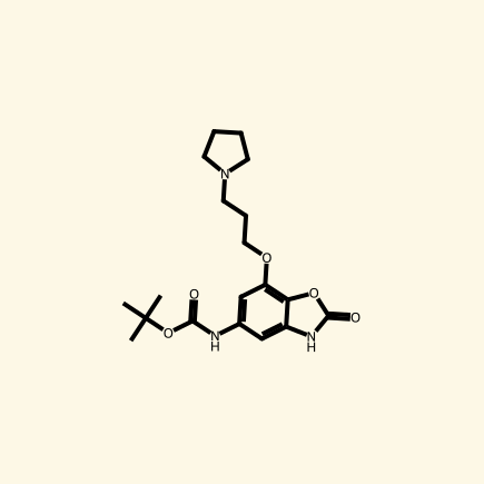 CC(C)(C)OC(=O)Nc1cc(OCCCN2CCCC2)c2oc(=O)[nH]c2c1